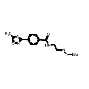 CC(C)(C)ON=CCNC(=O)c1ccc(-c2noc(C(F)(F)F)n2)cc1